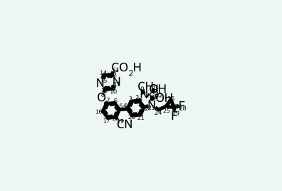 CN1c2cc(-c3cc(Oc4cnc(C(=O)O)cn4)ccc3C#N)ccc2N(CC2CC2(F)F)S1(O)O